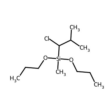 CCCO[Si](C)(OCCC)C(Cl)C(C)C